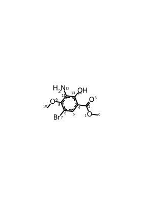 COC(=O)c1cc(Br)c(OC)c(N)c1O